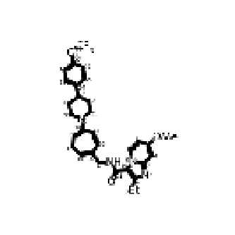 CCc1nc2cc(OC)ccn2c1C(=O)NCC1=CCC=C(N2CCC(c3ccc(OC(F)(F)F)cc3)CC2)C=C1